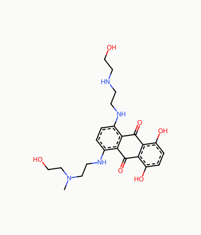 CN(CCO)CCNc1ccc(NCCNCCO)c2c1C(=O)c1c(O)ccc(O)c1C2=O